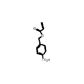 C=CC(=O)OCc1ccc(C(=O)O)cc1